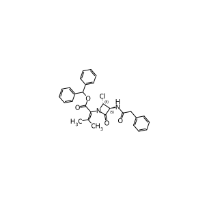 CC(C)=C(C(=O)OC(c1ccccc1)c1ccccc1)N1C(=O)[C@H](NC(=O)Cc2ccccc2)[C@H]1Cl